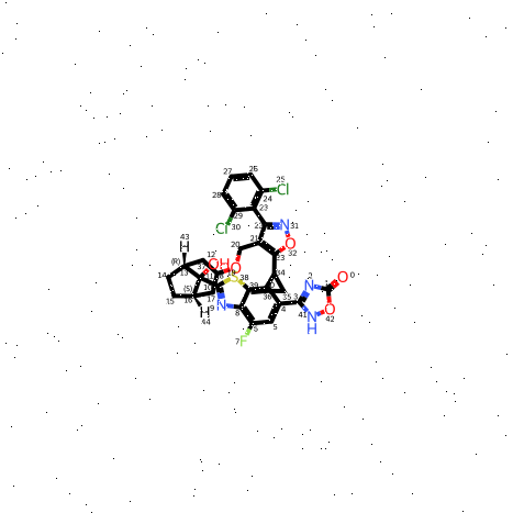 O=c1nc(-c2cc(F)c3nc(C4(O)[C@@H]5CC[C@H]4CC(OCc4c(-c6c(Cl)cccc6Cl)noc4C4CC4)C5)sc3c2)[nH]o1